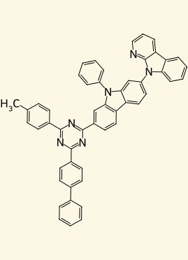 Cc1ccc(-c2nc(-c3ccc(-c4ccccc4)cc3)nc(-c3ccc4c5ccc(-n6c7ccccc7c7cccnc76)cc5n(-c5ccccc5)c4c3)n2)cc1